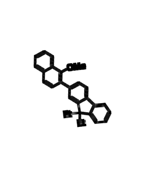 CCC1(CC)c2ccccc2-c2ccc(-c3ccc4ccccc4c3OC)cc21